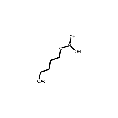 CC(=O)OCCCCON(O)O